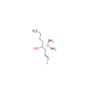 CCCCC(O)CC=CI.[SiH3]O[SiH3]